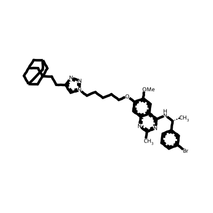 COc1cc2c(N[C@H](C)c3cccc(Br)c3)nc(C)nc2cc1OCCCCCn1cc(CCC23CC4CC(CC(C4)C2)C3)nn1